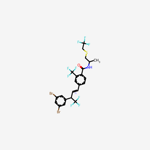 CC(CSCC(F)(F)F)NC(=O)c1ccc(/C=C/C(c2cc(Br)cc(Br)c2)C(F)(F)F)cc1C(F)(F)F